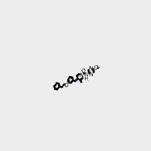 COc1cnc(NC(=O)N2CC/C(=C\c3cccc(OCCc4ccccc4)c3)C(C)C2)cn1